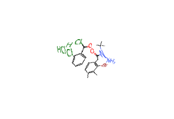 Cc1ccc(C(=O)N(N)C(C)(C)C)c(Br)c1C.Cl.Cl.O=C(Cl)c1ccccc1